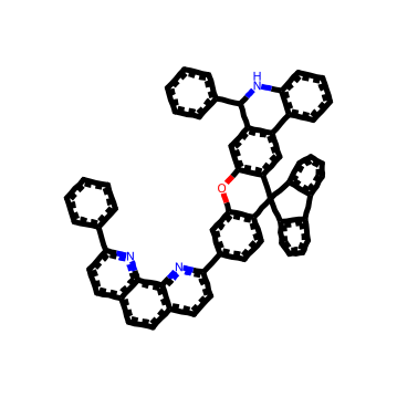 c1ccc(-c2ccc3ccc4ccc(-c5ccc6c(c5)Oc5cc7c(cc5C65c6ccccc6-c6ccccc65)-c5ccccc5NC7c5ccccc5)nc4c3n2)cc1